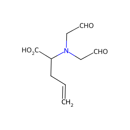 C=CCC(C(=O)O)N(CC=O)CC=O